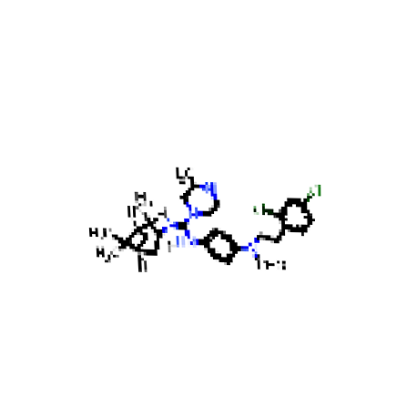 C[C@@H]1[C@@H](/N=C(\Nc2ccc(N(C=O)CCc3ccc(Cl)cc3Cl)cc2)N2CCN[C@@H](C)C2)C[C@H]2C[C@H]1C2(C)C